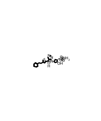 NS(=O)(=O)OC[C@H]1C[C@@H](Nc2ncncc2C(O)c2cc(CCc3ccccc3)cs2)C[C@@H]1O